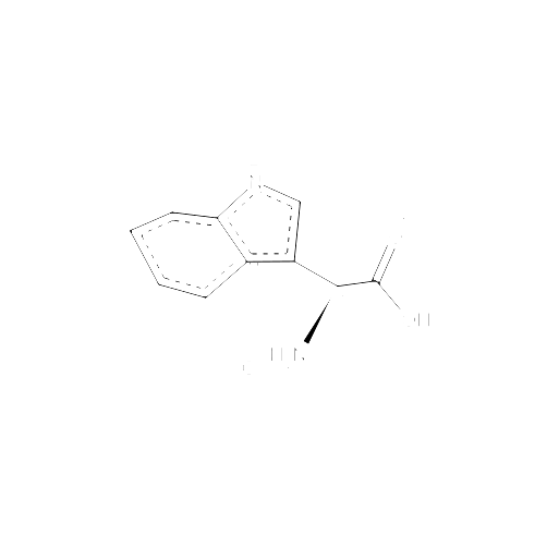 Cl.N[C@H](C(=O)O)c1c[nH]c2ccccc12